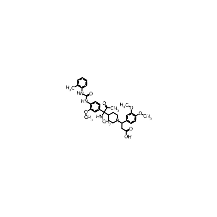 CNC(C(C)=O)(c1ccc(NC(=O)Nc2ccccc2C)c(OC)c1)C1CCN(C(CC(=O)O)c2ccc(OC)c(OC)c2)CC1